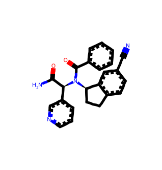 N#Cc1ccc2c(c1)[C@H](N(C(=O)c1ccccc1)[C@H](C(N)=O)c1cccnc1)CC2